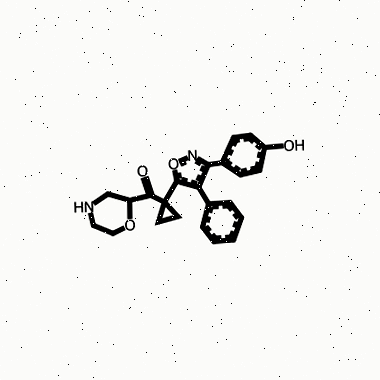 O=C(C1CNCCO1)C1(c2onc(-c3ccc(O)cc3)c2-c2ccccc2)CC1